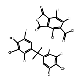 CC(C)(c1cc(Cl)c(O)c(Cl)c1Cl)c1cc(Cl)c(O)c(Cl)c1Cl.O=C(Cl)c1c(Cl)c(Cl)c2c(c1Cl)C(=O)OC2=O